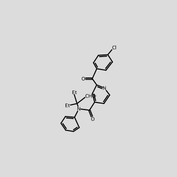 CCC([C]=O)(CC)N(C(=O)c1ccnc(C(=O)c2ccc(Cl)cc2)c1)c1ccccc1